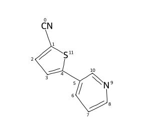 N#Cc1ccc(-c2cccnc2)s1